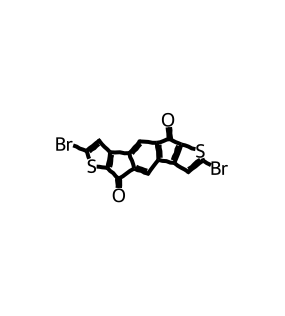 O=c1c2cc3c(cc2c2cc(Br)sc12)c(=O)c1sc(Br)cc13